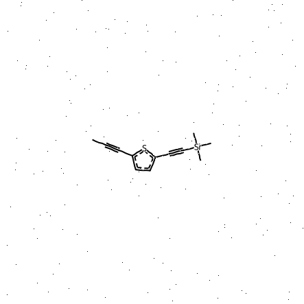 CC#Cc1ccc(C#C[Si](C)(C)C)s1